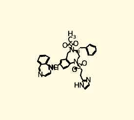 C1=CNc2ccccc2C=N1.CS(=O)(=O)N1Cc2cc(C#N)ccc2N(S(=O)(=O)CCc2ncc[nH]2)C[C@H]1Cc1ccccc1